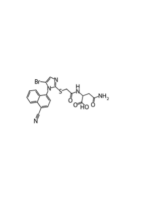 N#Cc1ccc(-n2c(Br)cnc2SCC(=O)NC(CC(N)=O)C(=O)O)c2ccccc12